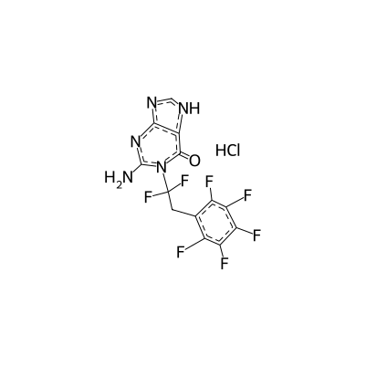 Cl.Nc1nc2nc[nH]c2c(=O)n1C(F)(F)Cc1c(F)c(F)c(F)c(F)c1F